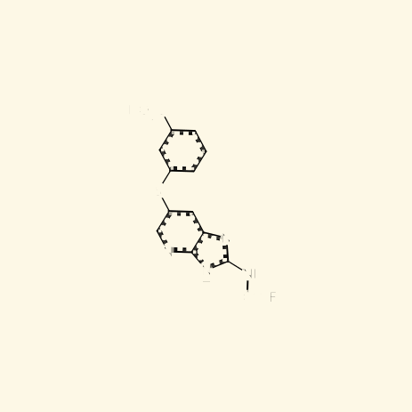 CCOC(=O)Nc1nc2cc(Sc3cccc(C(=O)O)c3)cnc2[nH]1